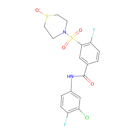 O=C(Nc1ccc(F)c(Cl)c1)c1ccc(F)c(S(=O)(=O)N2CC[S+]([O-])CC2)c1